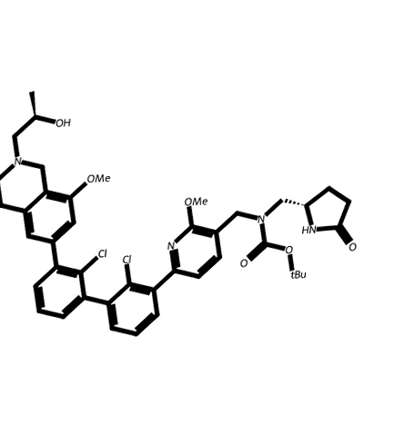 COc1cc(-c2cccc(-c3cccc(-c4ccc(CN(C[C@@H]5CCC(=O)N5)C(=O)OC(C)(C)C)c(OC)n4)c3Cl)c2Cl)cc2c1CN(C[C@@H](C)O)CC2